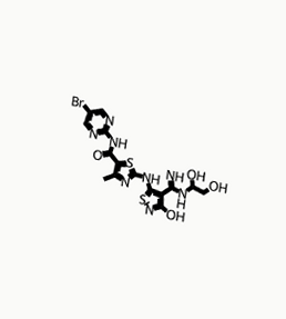 Cc1nc(Nc2snc(O)c2C(=N)NC(O)CO)sc1C(=O)Nc1ncc(Br)cn1